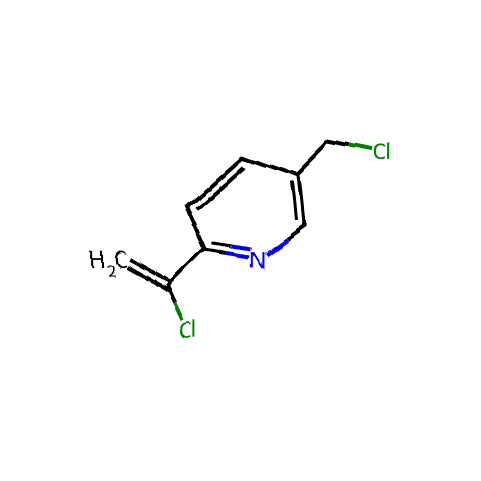 C=C(Cl)c1ccc(CCl)cn1